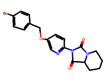 O=C1C2CCCCN2C(=O)N1c1ccc(OCc2ccc(Br)cc2)cn1